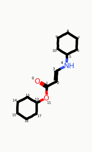 O=C(/C=C/NC1CCCCC1)OC1CCCCC1